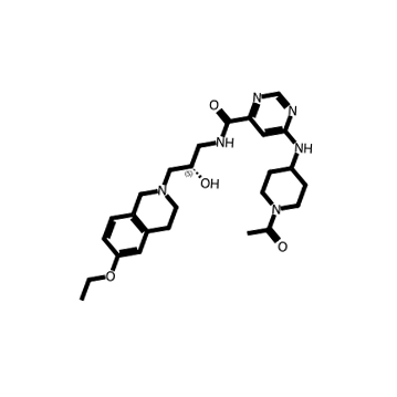 CCOc1ccc2c(c1)CCN(C[C@@H](O)CNC(=O)c1cc(NC3CCN(C(C)=O)CC3)ncn1)C2